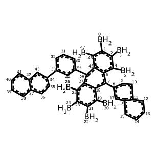 Bc1c(B)c(B)c2c(-c3ccc4ccccc4c3)c3c(B)c(B)c(B)c(B)c3c(-c3cccc(-c4ccc5ccccc5c4)c3)c2c1B